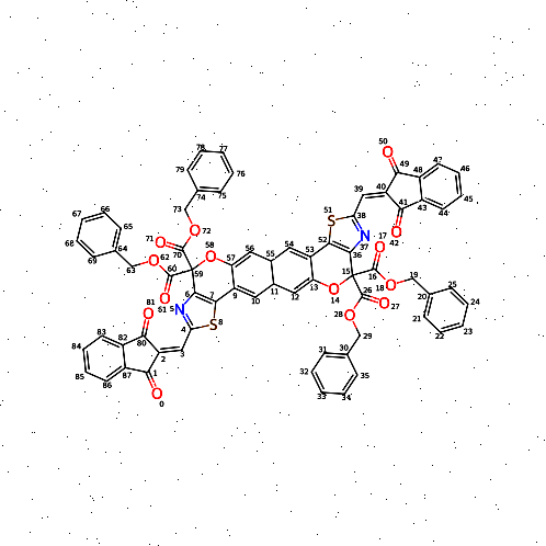 O=C1C(=Cc2nc3c(s2)C2=CC4C=C5OC(C(=O)OCc6ccccc6)(C(=O)OCc6ccccc6)c6nc(C=C7C(=O)c8ccccc8C7=O)sc6C5=CC4C=C2OC3(C(=O)OCc2ccccc2)C(=O)OCc2ccccc2)C(=O)c2ccccc21